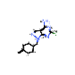 C=C1CCC(Cn2ncc3c(N)nc(Cl)nc32)CC1